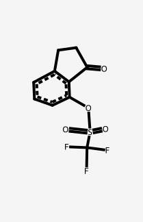 O=C1CCc2cccc(OS(=O)(=O)C(F)(F)F)c21